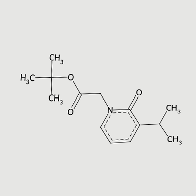 CC(C)c1cccn(CC(=O)OC(C)(C)C)c1=O